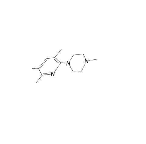 Cc1cc(C)c(N2CCN(C)CC2)nc1C